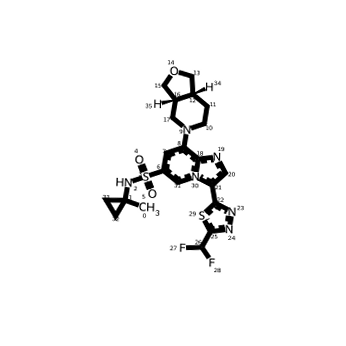 CC1(NS(=O)(=O)c2cc(N3CC[C@H]4COC[C@H]4C3)c3ncc(-c4nnc(C(F)F)s4)n3c2)CC1